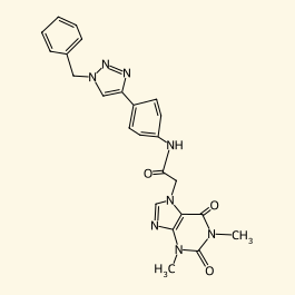 Cn1c(=O)c2c(ncn2CC(=O)Nc2ccc(-c3cn(Cc4ccccc4)nn3)cc2)n(C)c1=O